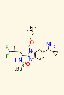 CC(C)(CC(N[S@+]([O-])C(C)(C)C)c1nc2ccc(C(N)C3CC3)cc2n1COCC[Si](C)(C)C)C(F)F